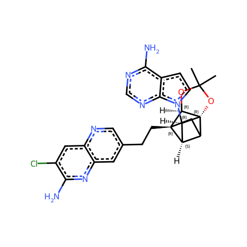 CC1(C)O[C@@H]2[C@]3(CCc4cnc5cc(Cl)c(N)nc5c4)CC4[C@@H]3[C@@H](n3ccc5c(N)ncnc53)[C@]42O1